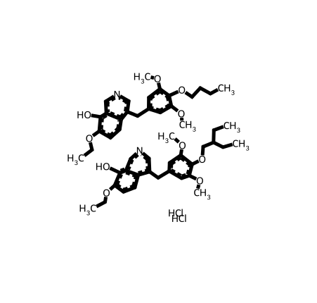 CCCCOc1c(OC)cc(Cc2cncc3c(O)c(OCC)ccc23)cc1OC.CCOc1ccc2c(Cc3cc(OC)c(OCC(CC)CC)c(OC)c3)cncc2c1O.Cl.Cl